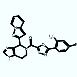 Cc1cc(F)ccc1-c1nnc(C(=O)N2CCc3[nH]cnc3C2c2cc3ccccn3n2)o1